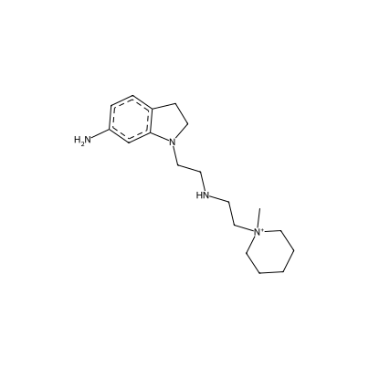 C[N+]1(CCNCCN2CCc3ccc(N)cc32)CCCCC1